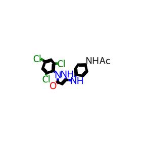 CC(=O)Nc1ccc(Nc2cc(=O)n(-c3c(Cl)cc(Cl)cc3Cl)[nH]2)cc1